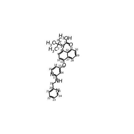 CC(C)(C)N(C(=O)O)c1ccc(Oc2ccnc(NCc3ccccn3)c2)c2ccccc12